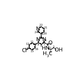 C[C@@H](CO)NC(=O)c1cc(-c2ccc(Cl)cc2)nc(-c2cccnc2)n1